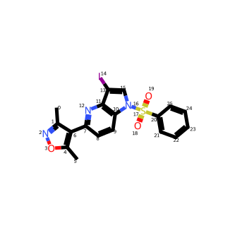 Cc1noc(C)c1-c1ccc2c(n1)c(I)cn2S(=O)(=O)c1ccccc1